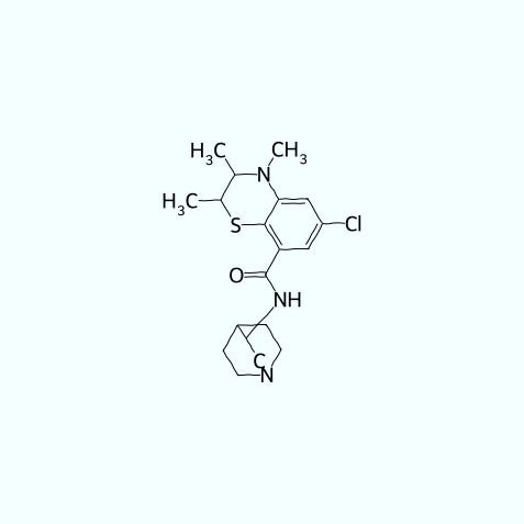 CC1Sc2c(C(=O)NC3CN4CCC3CC4)cc(Cl)cc2N(C)C1C